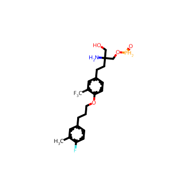 Cc1cc(CCCOc2ccc(CCC(N)(CO)CO[PH2]=O)cc2C(F)(F)F)ccc1F